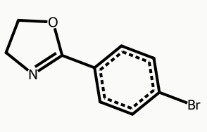 Brc1ccc(C2=NCCO2)cc1